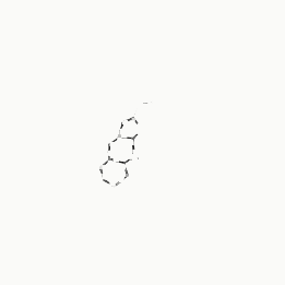 O=C(O)Oc1cc2cc3ccccc3nc2s1